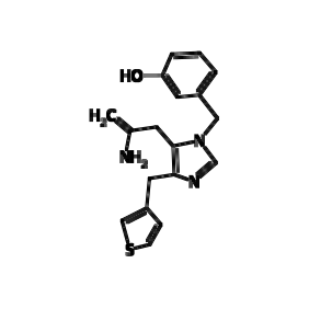 C=C(N)Cc1c(Cc2ccsc2)ncn1Cc1cccc(O)c1